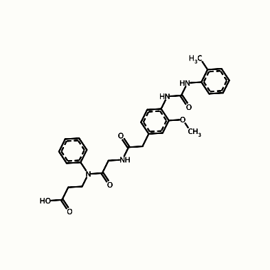 COc1cc(CC(=O)NCC(=O)N(CCC(=O)O)c2ccccc2)ccc1NC(=O)Nc1ccccc1C